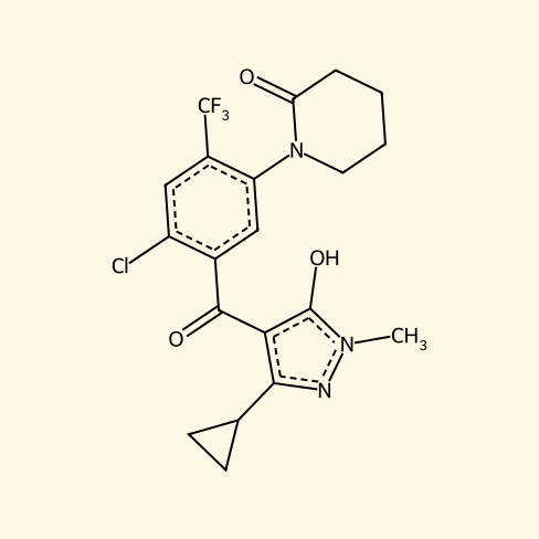 Cn1nc(C2CC2)c(C(=O)c2cc(N3CCCCC3=O)c(C(F)(F)F)cc2Cl)c1O